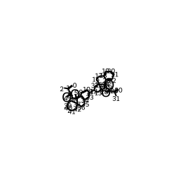 C=C(C)C(=O)OC1(C)c2ccc(C3CCC4(CCc5ccccc5C4(C)OC(=O)C(=C)C)C3)cc2CCC12CCCCC2